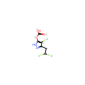 O=C(O)Oc1[nH]nc(CC(F)F)c1F